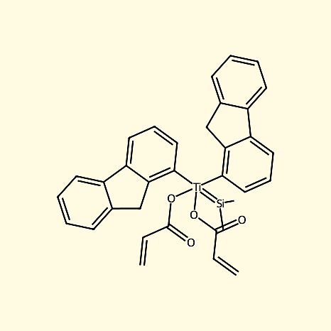 C=CC(=O)[O][Ti]([O]C(=O)C=C)([c]1cccc2c1Cc1ccccc1-2)([c]1cccc2c1Cc1ccccc1-2)=[Si](C)C